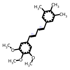 COc1cc(/C=C/C=C/c2cc(C)c(C)c(C)c2)cc(OC)c1OC